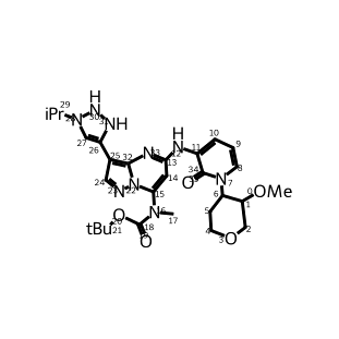 COC1COCCC1n1cccc(Nc2cc(N(C)C(=O)OC(C)(C)C)n3ncc(C4=CN(C(C)C)NN4)c3n2)c1=O